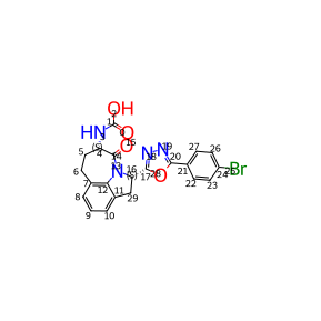 O=C(O)N[C@H]1CCc2cccc3c2N(C1=O)[C@H](c1nnc(-c2ccc(Br)cc2)o1)C3